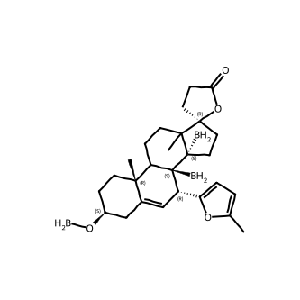 BO[C@H]1CC[C@@]2(C)C(=C[C@@H](c3ccc(C)o3)[C@]3(B)C2CCC2(C)[C@]4(CCC(=O)O4)CC[C@]23B)C1